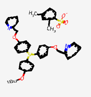 CC(C)(C)Oc1ccc([S+](c2ccc(OCc3ccccn3)cc2)c2ccc(OCc3ccccn3)cc2)cc1.Cc1ccc(S(=O)(=O)[O-])c(C)c1